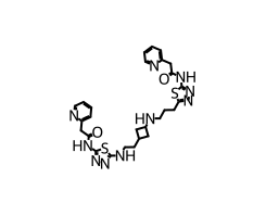 O=C(Cc1ccccn1)Nc1nnc(CCCNC2CC(CCNc3nnc(NC(=O)Cc4ccccn4)s3)C2)s1